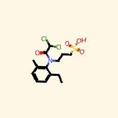 CCc1cccc(C)c1N(CCCS(=O)(=O)O)C(=O)C(Cl)Cl